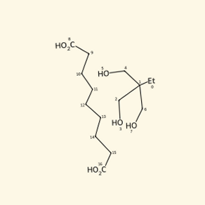 CCC(CO)(CO)CO.O=C(O)CCCCCCCC(=O)O